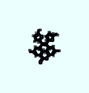 Cc1cc2oc(=O)c3cc(C)cc4c3c2c(c1)[si](-c1ccc(C)o1)[si]4-c1ccc(C)o1